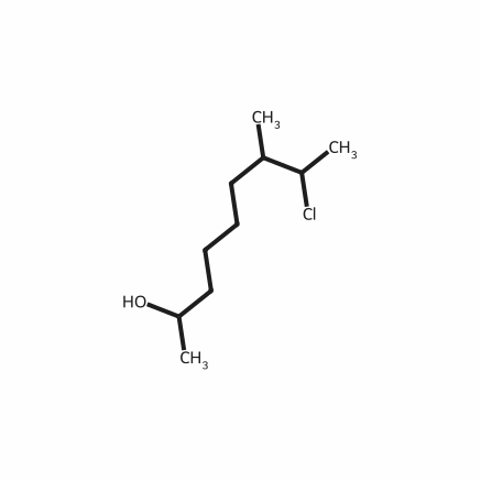 CC(O)CCCCC(C)C(C)Cl